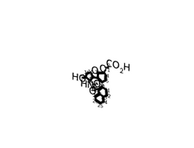 O=C(O)COc1cccc2c1OC1CC(O)C(NS(=O)(=O)c3cccc4ccccc34)C21